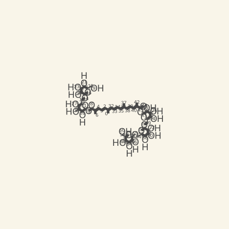 CC(/C=C/C=C(\C)C(=O)O[C@@H]1O[C@H](CO[C@@H]2O[C@H](CO)[C@@H](O)[C@H](O)[C@H]2O)[C@@H](O)[C@H](O)[C@H]1O)=C\C=C\C=C(C)\C=C\C=C(/C)C(=O)O[C@@H]1O[C@H](CO[C@@H]2O[C@H](CO[C@@H]3O[C@H](CO)[C@@H](O)[C@H](O)[C@H]3O)[C@@H](O)[C@H](O)[C@H]2O)[C@@H](O)[C@H](O)[C@H]1O